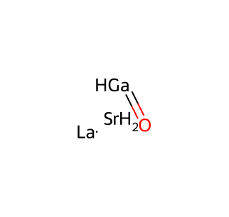 [La].[O]=[GaH].[SrH2]